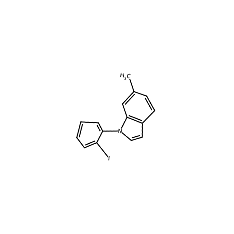 Cc1ccc2ccn(-c3ccccc3I)c2c1